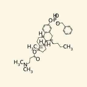 CCCC[C@@H]1Cc2cc(O[PH](=O)OCc3ccccc3)ccc2[C@H]2CC[C@]3(C)[C@@H](OC(=O)CCN(C)C)CC[C@H]3[C@H]12